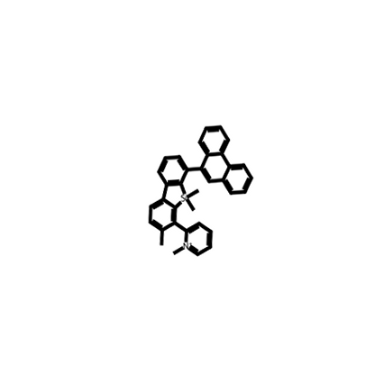 Cc1ccc2c(c1-c1cccc[n+]1C)[Si](C)(C)c1c-2cccc1-c1cc2ccccc2c2ccccc12